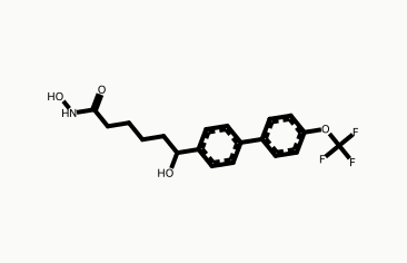 O=C(CCCCC(O)c1ccc(-c2ccc(OC(F)(F)F)cc2)cc1)NO